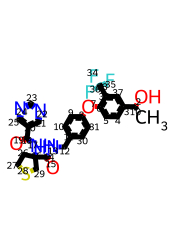 CC(O)c1ccc(Oc2ccc(CNC(=O)C3(NC(=O)c4cncnc4)CCSC3)cc2)c(C(F)(F)F)c1